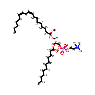 CCCCC/C=C\C/C=C\CCCCCCCC(=O)OC[C@H](COP(=O)([O-])OCC[N+](C)(C)C)OC(=O)CCCCCCCCCCC